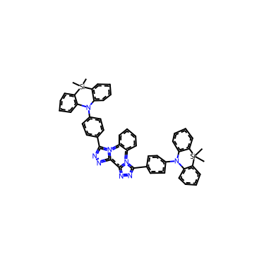 C[Si]1(C)c2ccccc2N(c2ccc(-c3nnc4c5nnc(-c6ccc(N7c8ccccc8[Si](C)(C)c8ccccc87)cc6)n5c5ccccc5n34)cc2)c2ccccc21